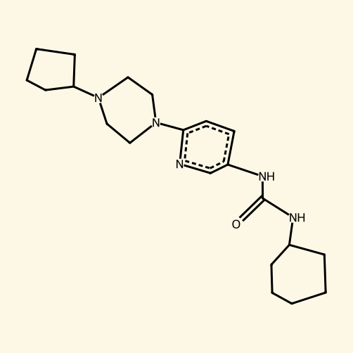 O=C(Nc1ccc(N2CCN(C3CCCC3)CC2)nc1)NC1CCCCC1